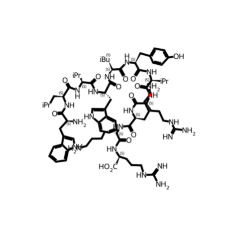 CC[C@H](C)[C@H](NC(=O)[C@H](Cc1c[nH]c2ccccc12)NC(=O)[C@@H](NC(=O)[C@H](CC(C)C)NC(=O)[C@@H](N)Cc1c[nH]c2ccccc12)C(C)C)C(=O)N[C@@H](Cc1ccc(O)cc1)C(=O)N[C@H](C(=O)N[C@@H](CCCNC(=N)N)C(=O)N[C@@H](CCCCN)C(=O)N[C@@H](CCCCN)C(=O)N[C@@H](CCCNC(=N)N)C(=O)O)C(C)C